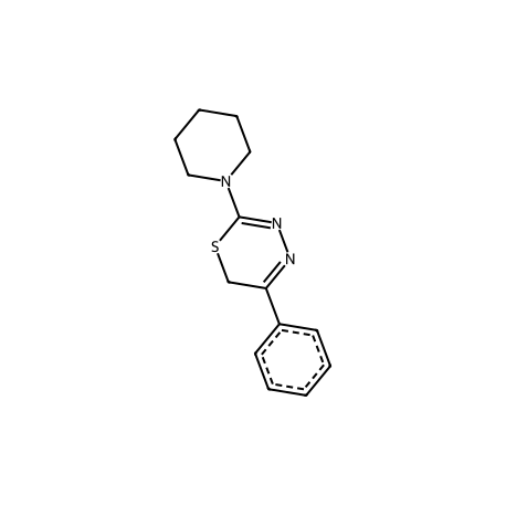 c1ccc(C2=NN=C(N3CCCCC3)SC2)cc1